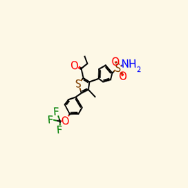 CCC(=O)c1sc(-c2ccc(OC(F)(F)F)cc2)c(C)c1-c1ccc(S(N)(=O)=O)cc1